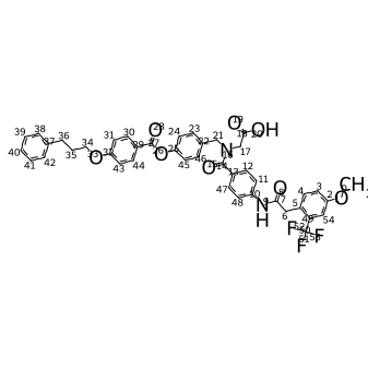 COc1ccc(CC(=O)Nc2ccc(C(=O)N(CC(=O)O)Cc3ccc(OC(=O)c4ccc(OCCCc5ccccc5)cc4)cc3)cc2)c(C(F)(F)F)c1